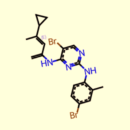 C=C(/C=C(\C)C1CC1)Nc1nc(Nc2ccc(Br)cc2C)ncc1Br